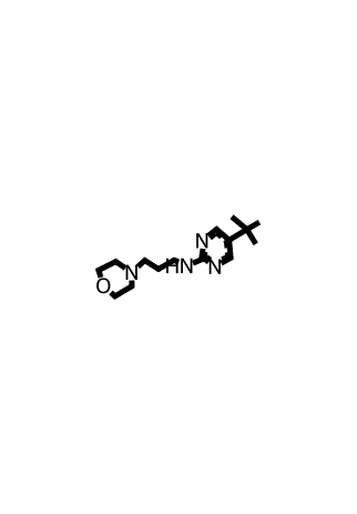 CC(C)(C)c1cnc(NCCCN2CCOCC2)nc1